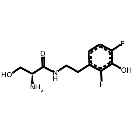 N[C@@H](CO)C(=O)NCCc1ccc(F)c(O)c1F